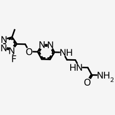 Cc1nnn(F)c1COc1ccc(NCCNCC(N)=O)nn1